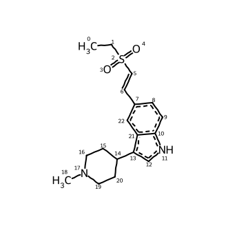 CCS(=O)(=O)/C=C/c1ccc2[nH]cc(C3CCN(C)CC3)c2c1